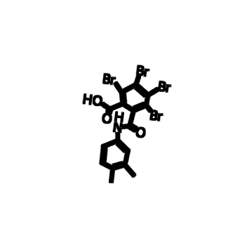 Cc1ccc(NC(=O)c2c(Br)c(Br)c(Br)c(Br)c2C(=O)O)cc1C